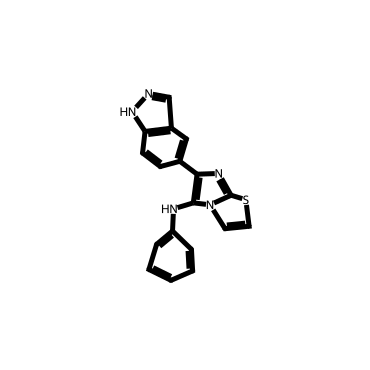 c1ccc(Nc2c(-c3ccc4[nH]ncc4c3)nc3sccn23)cc1